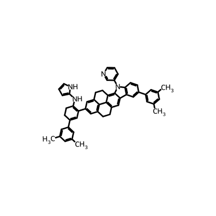 Cc1cc(C)cc(C2=CC(c3cc4c5c(c3)CCc3c-5c(cc5c6cc(-c7cc(C)cc(C)c7)ccc6n(-c6cccnc6)c35)CC4)=C(Nc3ccc[nH]3)CC2)c1